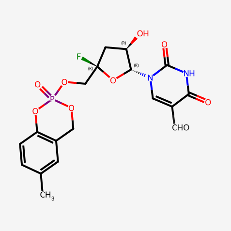 Cc1ccc2c(c1)COP(=O)(OC[C@]1(F)C[C@@H](O)[C@H](n3cc(C=O)c(=O)[nH]c3=O)O1)O2